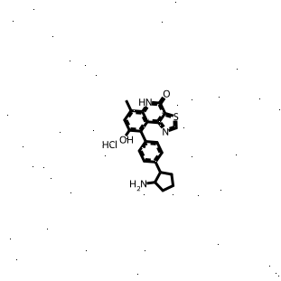 Cc1cc(O)c(-c2ccc(C3CCCC3N)cc2)c2c1[nH]c(=O)c1scnc12.Cl